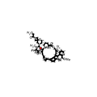 C=CC(=O)N1CC2(C1)CN(C(=O)N(C)C(C(=O)N[C@@]1(SC)Cc3nc(cs3)-c3ccc4c(c3)c(c(-c3cccnc3[C@H](C)OC)n4CC)CC(C)(C)COC(=O)[C@@]3(S)CCCN(N3)C1=O)C(C)C)CCO2